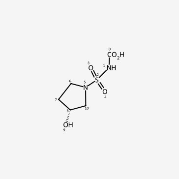 O=C(O)NS(=O)(=O)N1CC[C@@H](O)C1